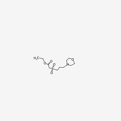 CCOC(=O)CS(=O)(=O)CCCN1CCOCC1